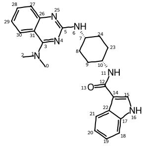 CN(C)c1nc(N[C@H]2CC[C@@H](NC(=O)c3c[nH]c4ccccc34)CC2)nc2ccccc12